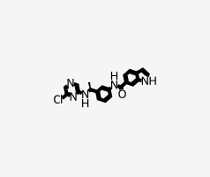 C[C@H](Nc1cncc(Cl)n1)c1cccc(NC(=O)c2ccc3cc[nH]c3c2)c1